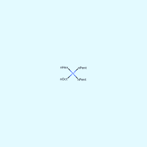 CCCCCCCC[N+](CCCCC)(CCCCC)CCCCCC